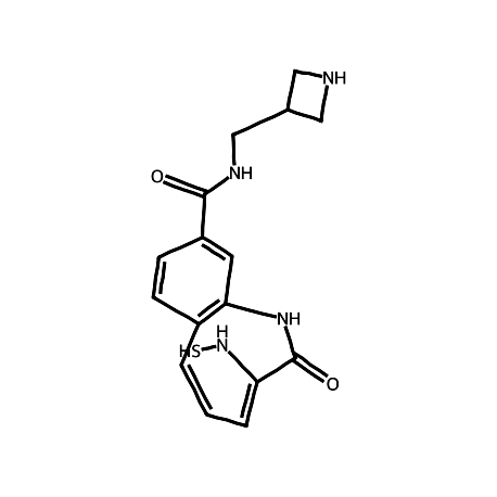 O=C1Nc2cc(C(=O)NCC3CNC3)ccc2/C=C\C=C\1NS